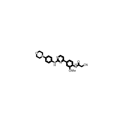 COc1cc(-c2ccnc(Nc3ccc(N4CCOCC4)cc3)n2)ccc1NC(=O)CC#N